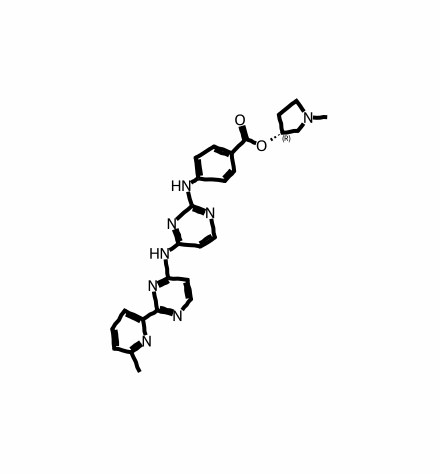 Cc1cccc(-c2nccc(Nc3ccnc(Nc4ccc(C(=O)O[C@@H]5CCN(C)C5)cc4)n3)n2)n1